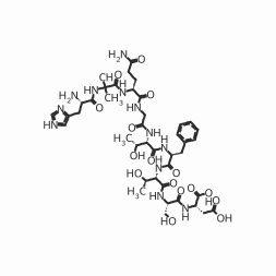 C[C@@H](O)[C@H](NC(=O)CNC(=O)[C@H](CCC(N)=O)NC(=O)C(C)(C)NC(=O)[C@@H](N)Cc1c[nH]cn1)C(=O)N[C@@H](Cc1ccccc1)C(=O)N[C@H](C(=O)N[C@@H](CO)C(=O)N[C@@H](CC(=O)O)C(=O)O)[C@@H](C)O